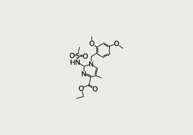 CCOC(=O)C1=NC(NS(C)(=O)=O)N(Cc2ccc(OC)cc2OC)C=C1C